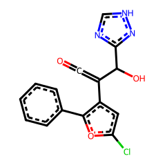 O=C=C(c1cc(Cl)oc1-c1ccccc1)C(O)c1nc[nH]n1